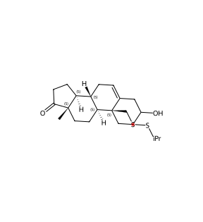 CC(C)SSC[C@]12CCC(O)CC1=CC[C@@H]1[C@@H]2CC[C@]2(C)C(=O)CC[C@@H]12